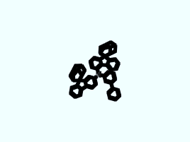 c1ccc(-c2cccc(N(c3ccc4c(c3)C3(c5ccccc5-4)C4CC5CC(C4)CC3C5)c3cccc4c3-c3ccccc3C43C4CC5CC(C4)CC3C5)c2)cc1